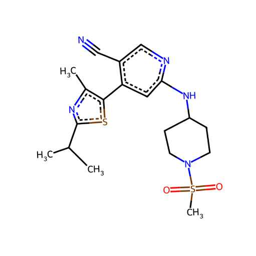 Cc1nc(C(C)C)sc1-c1cc(NC2CCN(S(C)(=O)=O)CC2)ncc1C#N